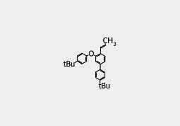 C/C=C/c1ccc(-c2ccc(C(C)(C)C)cc2)cc1Oc1ccc(C(C)(C)C)cc1